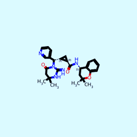 CC1(C)CC(=O)N(C(c2cccnc2)[C@@H]2C[C@H]2C(=O)N[C@H]2CC(C)(C)Oc3ccccc32)C(=N)N1